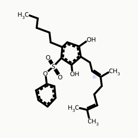 CCCCCc1cc(O)c(C/C=C(\C)CCC=C(C)C)c(O)c1S(=O)(=O)Oc1ccccc1